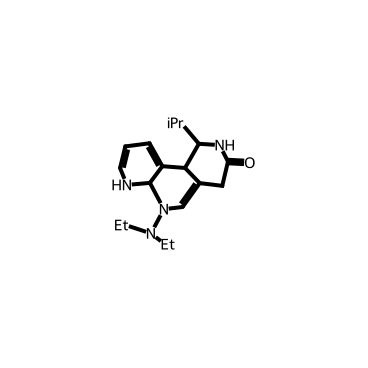 CCN(CC)N1C=C2CC(=O)NC(C(C)C)C2C2=CC=CNC21